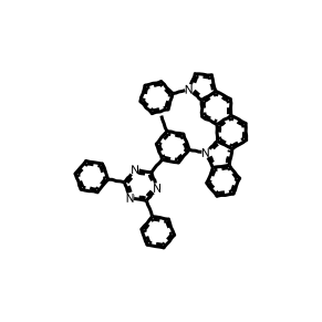 Cc1cc(-c2nc(-c3ccccc3)nc(-c3ccccc3)n2)cc(-n2c3ccccc3c3ccc4cc5ccn(-c6ccccc6)c5cc4c32)c1